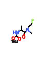 CC(NC(=O)OC(C)(C)C)C(=O)N(C)CCF